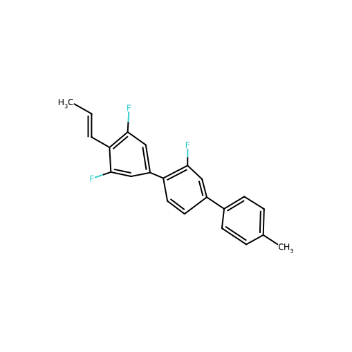 C/C=C/c1c(F)cc(-c2ccc(-c3ccc(C)cc3)cc2F)cc1F